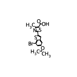 Cc1nc(-c2cc3cc(OC(C)C)cc(Br)c3s2)sc1C(=O)O